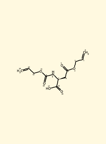 C=CCOC(=O)C[C@H](NC(=O)OCC=C)C(=O)O